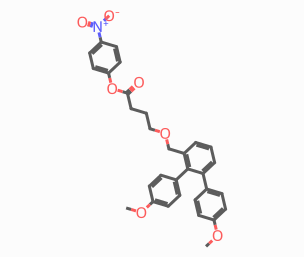 COc1ccc(-c2cccc(COCCCC(=O)Oc3ccc([N+](=O)[O-])cc3)c2-c2ccc(OC)cc2)cc1